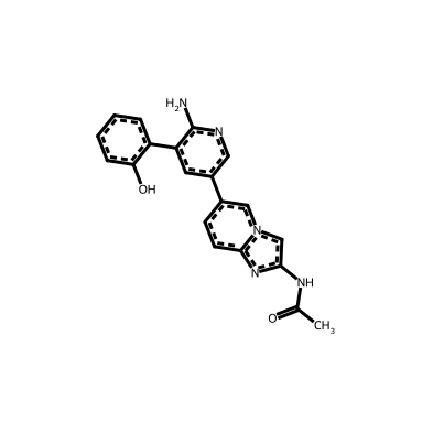 CC(=O)Nc1cn2cc(-c3cnc(N)c(-c4ccccc4O)c3)ccc2n1